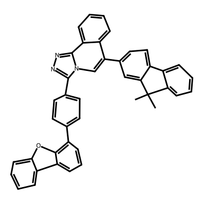 CC1(C)c2ccccc2-c2ccc(-c3cn4c(-c5ccc(-c6cccc7c6oc6ccccc67)cc5)nnc4c4ccccc34)cc21